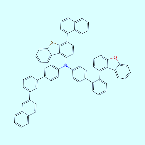 c1cc(-c2ccc(N(c3ccc(-c4ccccc4-c4cccc5oc6ccccc6c45)cc3)c3ccc(-c4cccc5ccccc45)c4sc5ccccc5c34)cc2)cc(-c2ccc3ccccc3c2)c1